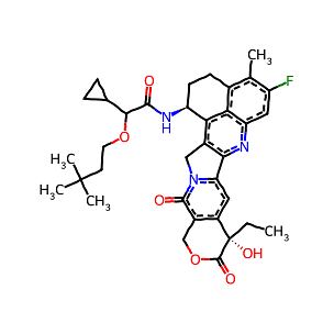 CC[C@@]1(O)C(=O)OCc2c1cc1n(c2=O)Cc2c-1nc1cc(F)c(C)c3c1c2[C@@H](NC(=O)C(OCCC(C)(C)C)C1CC1)CC3